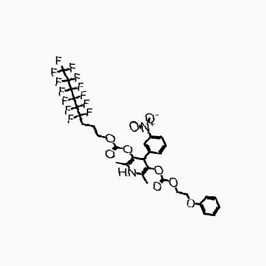 CC1=C(OC(=O)OCCCC(F)(F)C(F)(F)C(F)(F)C(F)(F)C(F)(F)C(F)(F)F)C(c2cccc([N+](=O)[O-])c2)C(OC(=O)OCCOc2ccccc2)=C(C)N1